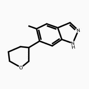 Cc1cc2cn[nH]c2cc1C1CCCOC1